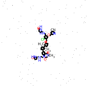 Cc1c(OCc2cc(OCc3cncc(C#N)c3)c(CNC[C@H]3CCC(=O)N3)cc2Cl)cccc1-c1cccc(-c2ccc3c(c2)C(=O)N(C)CC(=O)N3CCNC[C@@H]2CCC(=O)N2)c1C